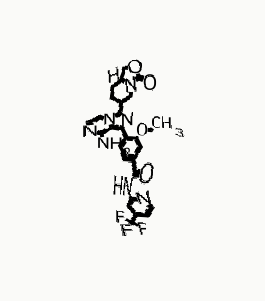 CCOc1cc(C(=O)Nc2cc(C(F)(F)F)ccn2)ccc1-c1nc(C2CC[C@@H]3COC(=O)N3C2)n2ccnc(N)c12